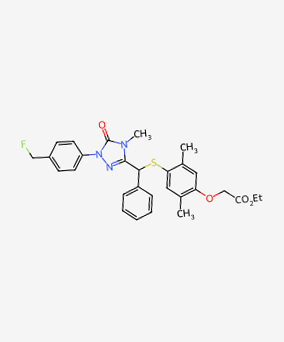 CCOC(=O)COc1cc(C)c(SC(c2ccccc2)c2nn(-c3ccc(CF)cc3)c(=O)n2C)cc1C